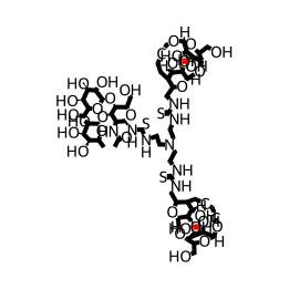 CC(=O)NC1[C@H](NC(=S)NCCN(CCNC(=S)NCC2O[C@@H]3OC4C(CO)O[C@H](OCCCCC2[C@H](O)C3O)C(O)[C@H]4O)CCNC(=S)NCC2O[C@@H]3OC4C(CO)O[C@H](OCCCCC2[C@H](O)C3O)C(O)[C@H]4O)OC(CO)[C@@H](O[C@@H]2OC(CO)[C@H](O)[C@H](O)C2O)[C@@H]1O[C@@H]1OC(C)[C@@H](O)[C@H](O)C1O